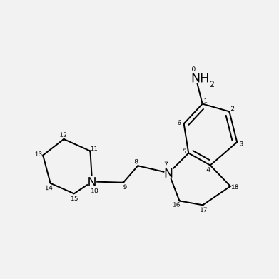 Nc1ccc2c(c1)N(CCN1CCCCC1)CCC2